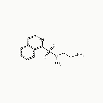 CN(CCN)S(=O)(=O)c1nccc2ccccc12